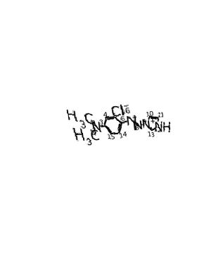 CN(C)c1ccc(N=N[n+]2cc[nH]c2)cc1.[Cl-]